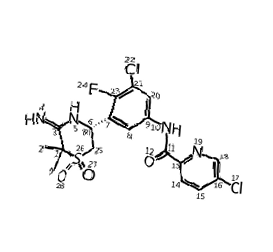 CC1(C)C(=N)N[C@H](c2cc(NC(=O)c3ccc(Cl)cn3)cc(Cl)c2F)CS1(=O)=O